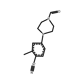 Cc1cc(N2CCN(C=O)CC2)ccc1[N+]#N